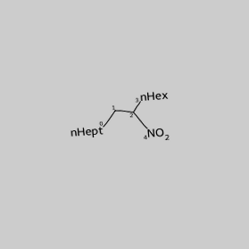 CCCCCCCCC(CCCCCC)[N+](=O)[O-]